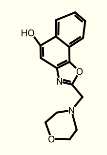 Oc1cc2nc(CN3CCOCC3)oc2c2ccccc12